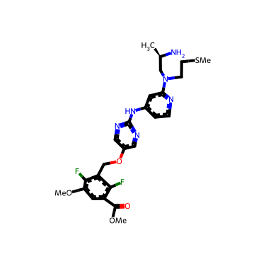 COC(=O)c1cc(OC)c(F)c(COc2cnc(Nc3ccnc(N(CCSC)C[C@@H](C)N)c3)nc2)c1F